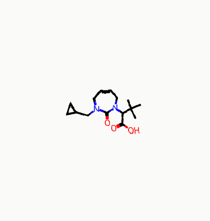 CC(C)(C)C(C(=O)O)N1CC=CCN(CC2CC2)C1=O